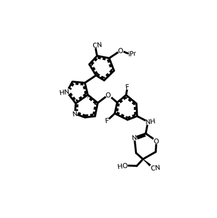 CC(C)Oc1ccc(-c2c[nH]c3nccc(Oc4c(F)cc(NC5=NC[C@@](C#N)(CO)CO5)cc4F)c23)cc1C#N